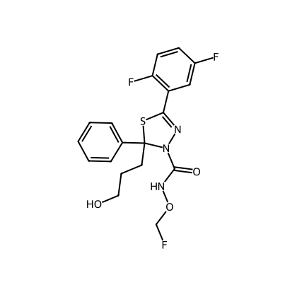 O=C(NOCF)N1N=C(c2cc(F)ccc2F)SC1(CCCO)c1ccccc1